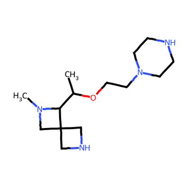 CC(OCCN1CCNCC1)C1N(C)CC12CNC2